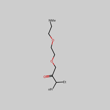 CCCC(CC)C(=O)COCCOCCNC